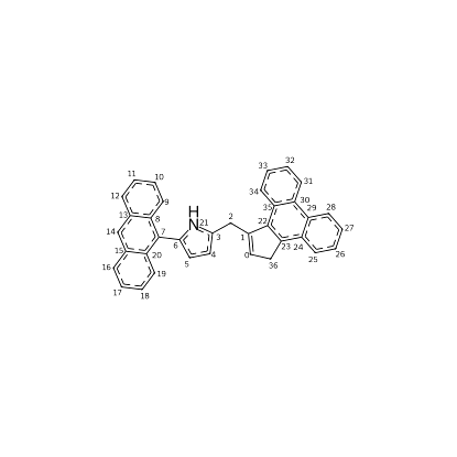 C1=C(Cc2ccc(-c3c4ccccc4cc4ccccc34)[nH]2)c2c(c3ccccc3c3ccccc23)C1